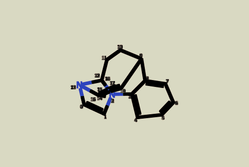 C1=CN2c3ccccc3C3CCC2N1c1ccccc13